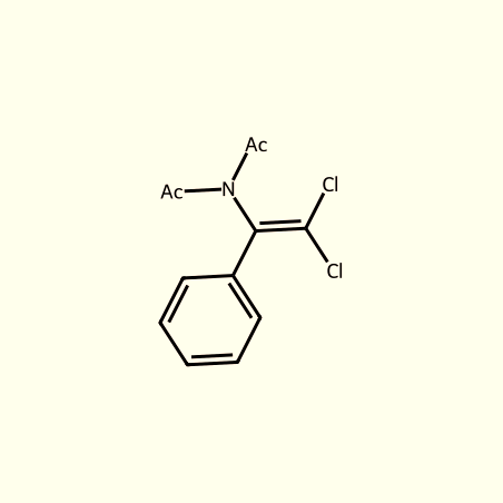 CC(=O)N(C(C)=O)C(=C(Cl)Cl)c1ccccc1